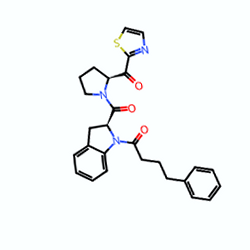 O=C(c1nccs1)[C@@H]1CCCN1C(=O)[C@@H]1Cc2ccccc2N1C(=O)CCCc1ccccc1